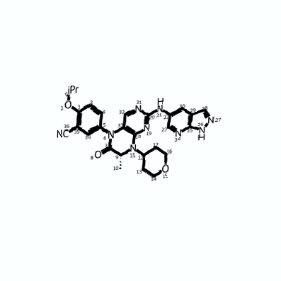 CC(C)Oc1ccc(N2C(=O)[C@@H](C)N(C3CCOCC3)c3nc(Nc4cnc5[nH]ncc5c4)ncc32)cc1C#N